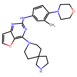 Cc1cc(Nc2nc(N3CCC4(CCNC4)CC3)c3occc3n2)ccc1N1CCOCC1